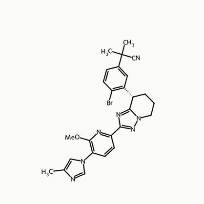 COc1nc(-c2nc3n(n2)CCC[C@H]3c2cc(C(C)(C)C#N)ccc2Br)ccc1-n1cnc(C)c1